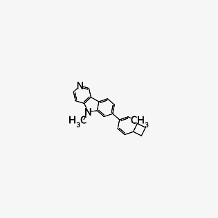 C/C=C(\C=C/C1CCC1)c1ccc2c3cnccc3n(C)c2c1